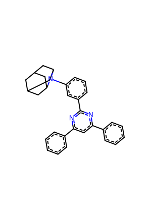 c1ccc(-c2cc(-c3ccccc3)nc(-c3cccc(N4C5CC6CC(C5)CC4C6)c3)n2)cc1